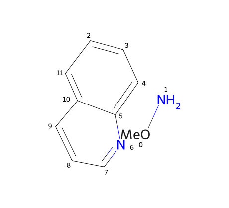 CON.c1ccc2ncccc2c1